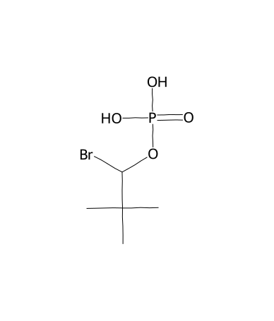 CC(C)(C)C(Br)OP(=O)(O)O